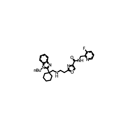 CCCCn1c(C2(CNCCc3nc(C(=O)NCc4ncccc4F)co3)CCCCC2)nc2ccccc21